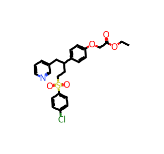 CCOC(=O)COc1ccc(C(CCS(=O)(=O)c2ccc(Cl)cc2)Cc2cccnc2)cc1